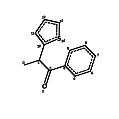 CC(C(=O)c1ccccc1)c1cccs1